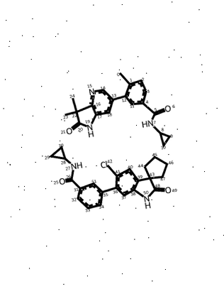 Cc1ccc(C(=O)NC2CC2)cc1-c1cnc2c(c1)NC(=O)C2(C)C.O=C(NC1CC1)c1cccc(-c2cc3c(cc2Cl)C2(CCCC2)C(=O)N3)c1